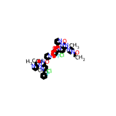 C=CC(=O)N1CCN(c2nc(=O)n(-c3ncccc3/C(C)=C/C=C/C(=O)N3CCC[C@@H](Oc4nc(=O)n(-c5c(C)ccnc5C(C)C)c5nc(-c6ccccc6F)c(Cl)cc45)C3)c3nc(-c4c(O)cccc4F)c(Cl)cc23)[C@@H](C)C1